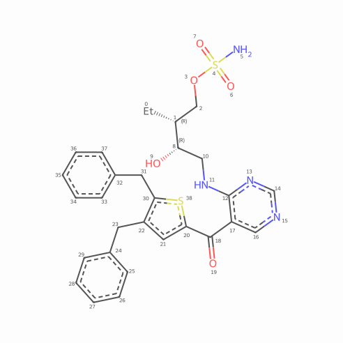 CC[C@H](COS(N)(=O)=O)[C@@H](O)CNc1ncncc1C(=O)c1cc(Cc2ccccc2)c(Cc2ccccc2)s1